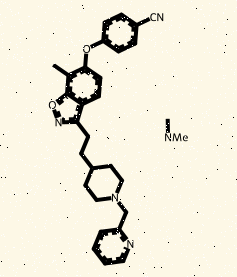 CNC.Cc1c(Oc2ccc(C#N)cc2)ccc2c(CCC3CCN(Cc4ccccn4)CC3)noc12